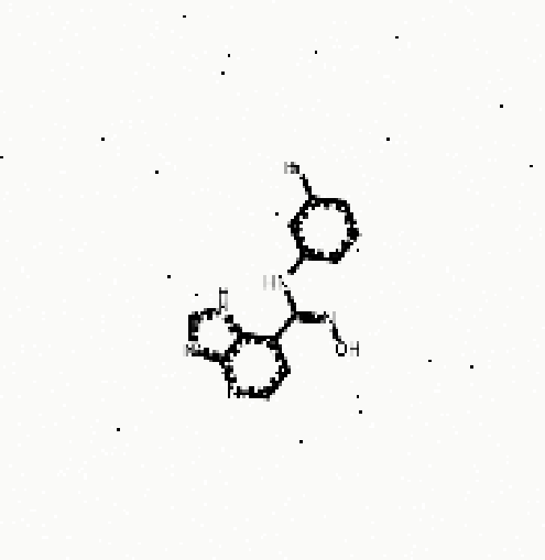 O/N=C(/Nc1cccc(Br)c1)c1ccnc2nc[nH]c12